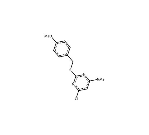 CNc1cc(Cl)nc(SCc2ccc(OC)cc2)n1